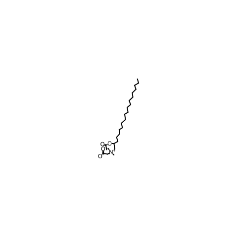 CCCCCCCCCCCCCCCCCCC(C[N+](C)(C)CC(=O)[O-])OC(C)=O